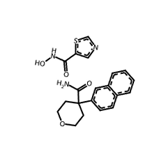 NC(=O)C1(c2ccc3ccccc3c2)CCOCC1.O=C(NO)c1cncs1